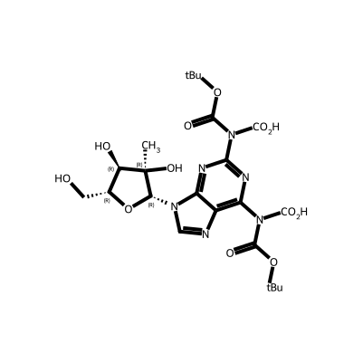 CC(C)(C)OC(=O)N(C(=O)O)c1nc(N(C(=O)O)C(=O)OC(C)(C)C)c2ncn([C@@H]3O[C@H](CO)[C@@H](O)[C@@]3(C)O)c2n1